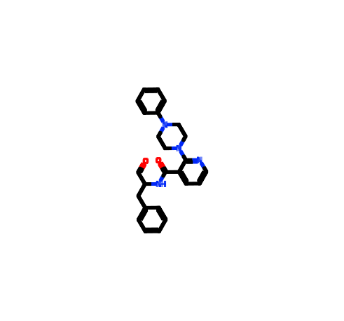 O=CC(Cc1ccccc1)NC(=O)c1cccnc1N1CCN(c2ccccc2)CC1